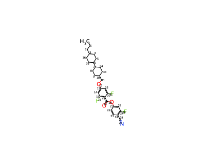 CCCC1CCC(C2CCC(COc3cc(F)c(C(=O)Oc4ccc(C#N)c(F)c4)c(F)c3)CC2)CC1